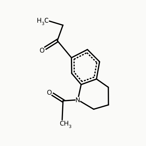 CCC(=O)c1ccc2c(c1)N(C(C)=O)CCC2